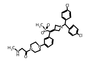 CNCC(=O)N1CCN(c2cccc(C(=C3CN(C(c4ccc(Cl)cc4)c4ccc(Cl)cc4)C3)S(C)(=O)=O)c2)CC1